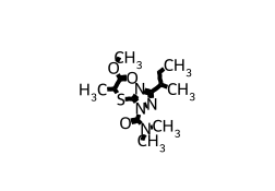 CCC(C)c1nc(SC(C)C(=O)OC)n(C(=O)N(C)C)n1